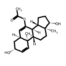 CC(=O)OC1=C[C@@H]2C[C@@H](O)C=C[C@]2(C)[C@H]2CC[C@]3(C)[C@@H](O)CC[C@H]3[C@H]12